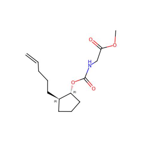 C=CCCC[C@@H]1CCC[C@H]1OC(=O)NCC(=O)OC